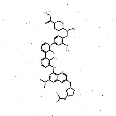 COC(=O)C1CCC(N(C)Cc2ncc(-c3cccc(-c4cccc(Nc5nc(C(F)F)nc6cc(CN7CC[C@@H](OC(F)F)C7)cnc56)c4C)c3Cl)nc2OC)CC1